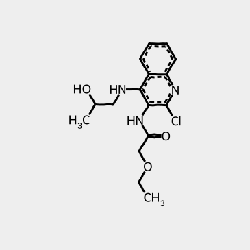 CCOCC(=O)Nc1c(Cl)nc2ccccc2c1NCC(C)O